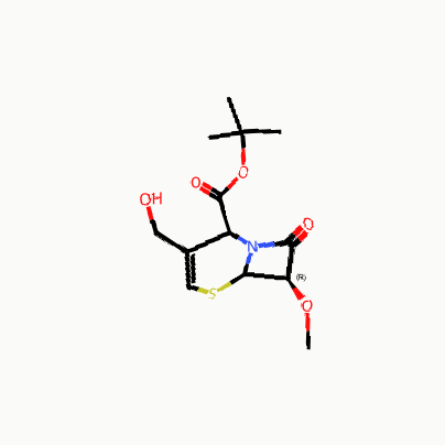 CO[C@@H]1C(=O)N2C(C(=O)OC(C)(C)C)C(CO)=CSC12